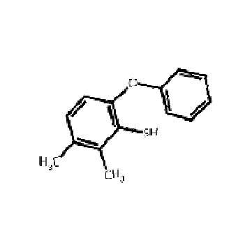 Cc1ccc(Oc2ccccc2)c(S)c1C